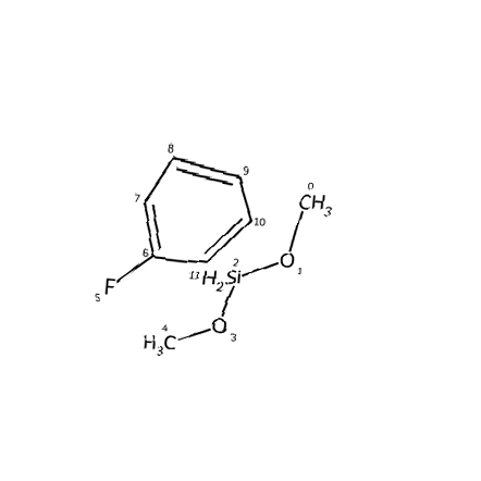 CO[SiH2]OC.Fc1ccccc1